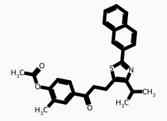 CC(=O)Oc1ccc(C(=O)CCc2sc(-c3ccc4ccccc4c3)nc2C(C)C)cc1C